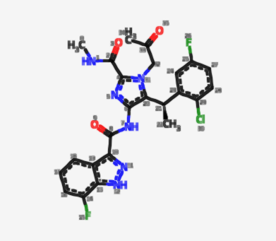 CNC(=O)c1nc(NC(=O)c2n[nH]c3c(F)cccc23)c([C@H](C)c2cc(F)ccc2Cl)n1CC(C)=O